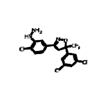 NNc1cc(C2=NOC(c3cc(Cl)cc(Cl)c3)(C(F)(F)F)C2)ccc1Cl